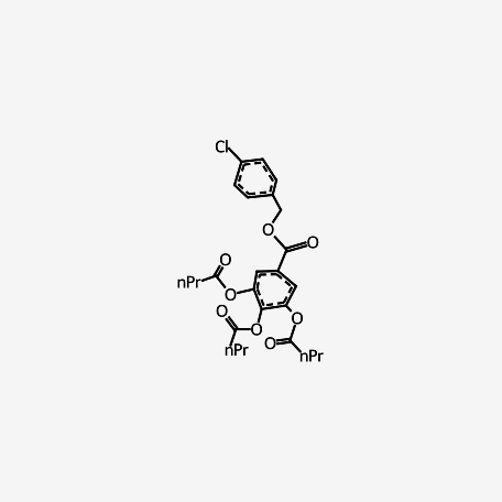 CCCC(=O)Oc1cc(C(=O)OCc2ccc(Cl)cc2)cc(OC(=O)CCC)c1OC(=O)CCC